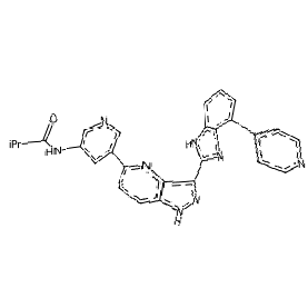 CC(C)C(=O)Nc1cncc(-c2ccc3[nH]nc(-c4nc5c(-c6ccncc6)cccc5[nH]4)c3n2)c1